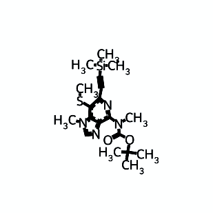 CSc1c(C#C[Si](C)(C)C)nc(N(C)C(=O)OC(C)(C)C)c2ncn(C)c12